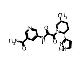 C[C@H]1CC[C@H](c2cc[nH]n2)N(C(=O)C(=O)Nc2cncc(C(N)=O)c2)C1